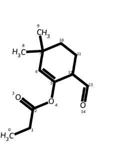 CCC(=O)OC1=CC(C)(C)CCC1C=O